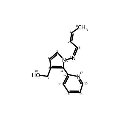 C/C=C\C=N/n1ccc(CO)c1-c1ccccn1